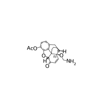 CC(=O)Oc1ccc2c3c1O[C@H]1C(=O)C=C[C@@]4(OCN)[C@H](CCCC314)C2